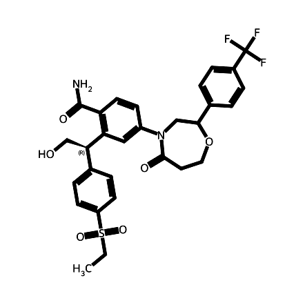 CCS(=O)(=O)c1ccc([C@@H](CO)c2cc(N3CC(c4ccc(C(F)(F)F)cc4)OCCC3=O)ccc2C(N)=O)cc1